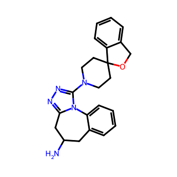 NC1Cc2ccccc2-n2c(nnc2N2CCC3(CC2)OCc2ccccc23)C1